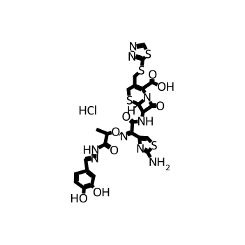 CC(O/N=C(\C(=O)NC1C(=O)N2C(C(=O)O)=C(CSc3nncs3)CS[C@H]12)c1csc(N)n1)C(=O)N/N=C/c1ccc(O)c(O)c1.Cl